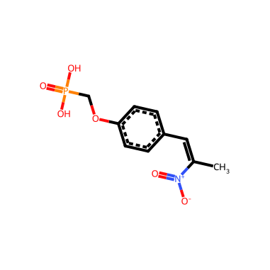 CC(=Cc1ccc(OCP(=O)(O)O)cc1)[N+](=O)[O-]